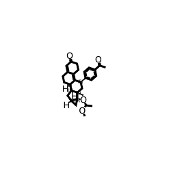 COC(C)O[C@@]12C[C@@H]1C[C@H]1[C@@H]3CCC4=CC(=O)CCC4=C3[C@@H](c3ccc(C(C)=O)cc3)C[C@@]12C